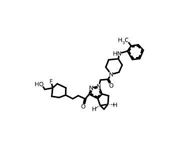 Cc1ccccc1NC1CCN(C(=O)Cn2nc(C(=O)CCC3CCC(F)(CO)CC3)c3c2C[C@H]2C[C@@H]32)CC1